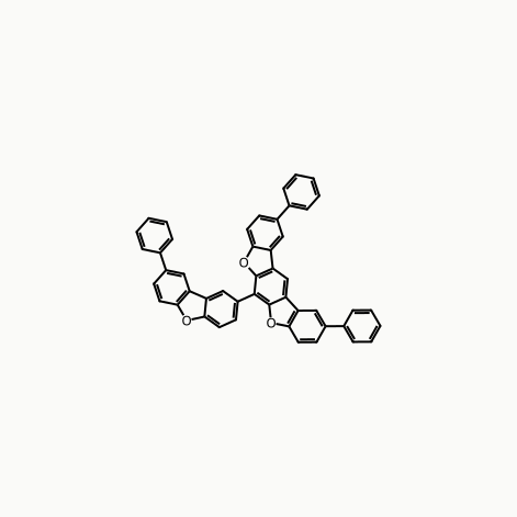 c1ccc(-c2ccc3oc4ccc(-c5c6oc7ccc(-c8ccccc8)cc7c6cc6c5oc5ccc(-c7ccccc7)cc56)cc4c3c2)cc1